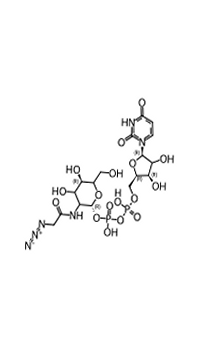 [N-]=[N+]=NCC(=O)NC1C(O)[C@@H](O)C(CO)O[C@@H]1OP(=O)(O)OP(=O)(O)OC[C@H]1O[C@@H](n2ccc(=O)[nH]c2=O)C(O)[C@H]1O